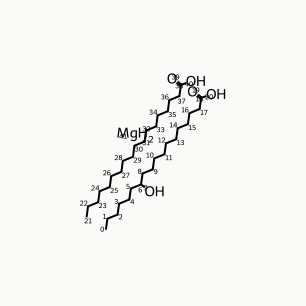 CCCCCCC(O)CCCCCCCCCCC(=O)O.CCCCCCCCCCCCCCCCCC(=O)O.[MgH2]